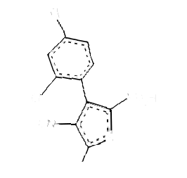 [C-]#[N+]c1c(I)sc(C(=O)O)c1-c1ccc(Cl)cc1Cl